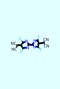 N#CC(C#N)=c1c(F)nc(=c2nc(F)c(=C(C#N)C#N)c(F)n2)nc1F